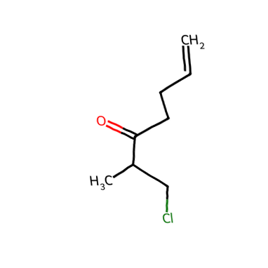 C=CCCC(=O)C(C)CCl